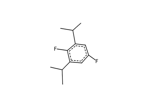 CC(C)c1cc(F)cc(C(C)C)c1F